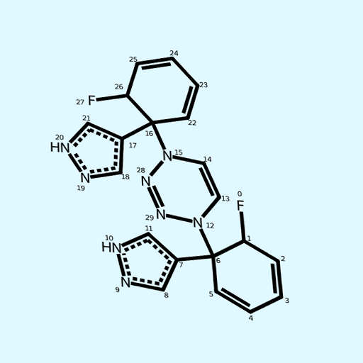 FC1C=CC=CC1(c1cn[nH]c1)N1C=CN(C2(c3cn[nH]c3)C=CC=CC2F)N=N1